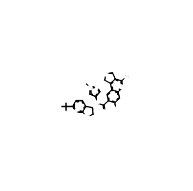 Cn1cc(N(C(=O)c2cc3c4c(c(N)nc3cc2F)COC4)[C@@H]2COc3nc(C(F)(F)F)ccc32)cn1